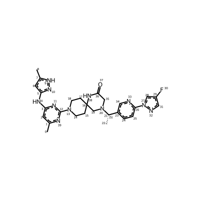 Cc1cc(Nc2cc(C)[nH]n2)nc(N2CCC3(CC2)CN([C@@H](C)c2ccc(-n4cc(F)cn4)nc2)CC(=O)N3)n1